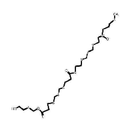 CSCCC[S+]([O-])CCSCSCSCCSC(=O)CCSCSCSCCC(=O)OCSCCO